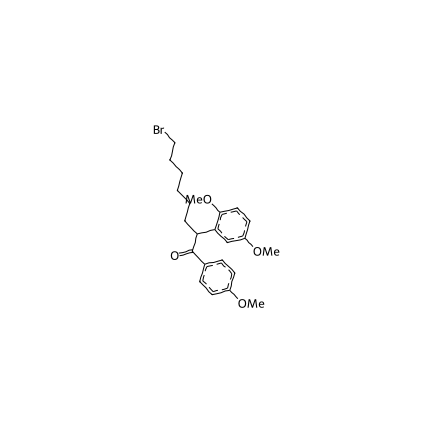 COc1ccc(C(=O)C(CCCCCCBr)c2cc(OC)ccc2OC)cc1